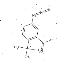 CC(C)(C)c1ccc(N=[N+]=[N-])cc1[N+](=O)[O-]